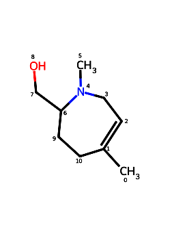 CC1=CCN(C)C(CO)CC1